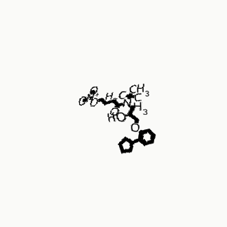 CC(C)(C)N(C[C@H](O)COc1ccccc1C1CCCC1)C(=O)CCCO[N+](=O)[O-]